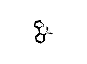 C[SiH](C)c1ccccc1-c1ccco1